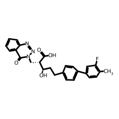 Cc1ccc(-c2ccc(CC[C@@H](O)[C@H](Cn3nnc4ccccc4c3=O)C(=O)O)cc2)cc1F